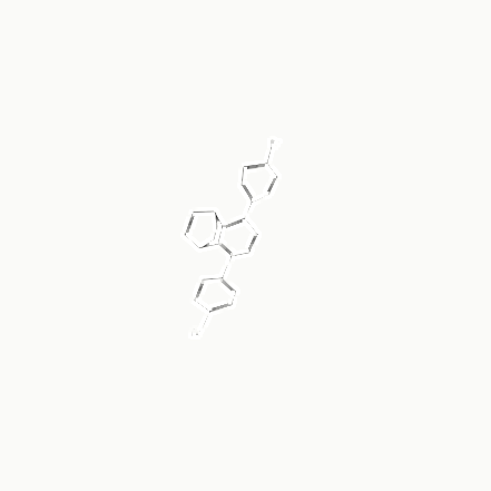 Brc1ccc(-c2ccc(-c3ccc(Br)cc3)c3c2C2C=CC3CC2)cc1